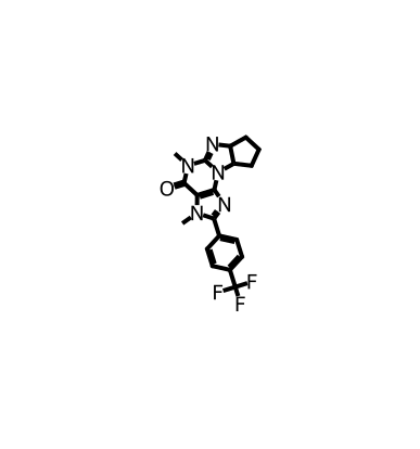 CN1C(=O)c2c(nc(-c3ccc(C(F)(F)F)cc3)n2C)N2C1=NC1CCCC12